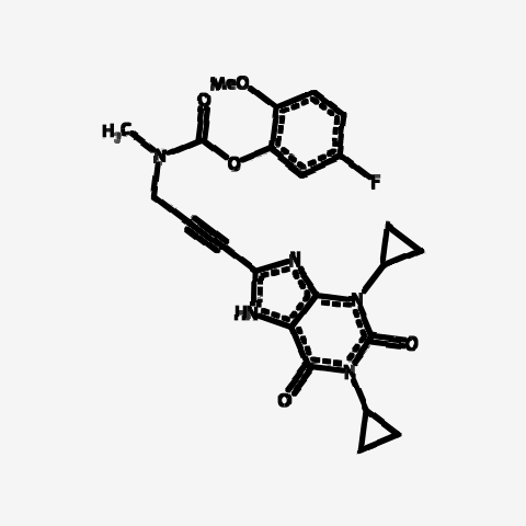 COc1ccc(F)cc1OC(=O)N(C)CC#Cc1nc2c([nH]1)c(=O)n(C1CC1)c(=O)n2C1CC1